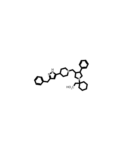 O=C(O)CC1(N2CC(CN3CCC(c4cc(Cc5ccccc5)n[nH]4)CC3)C(c3ccccc3)C2)CCCCC1